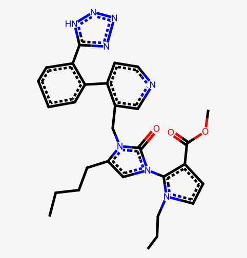 CCCCc1cn(-c2c(C(=O)OC)ccn2CCC)c(=O)n1Cc1cnccc1-c1ccccc1-c1nnn[nH]1